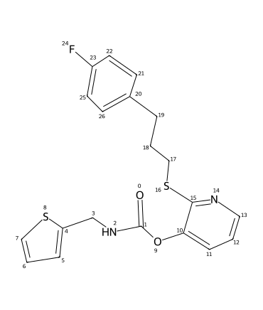 O=C(NCc1cccs1)Oc1cccnc1SCCCc1ccc(F)cc1